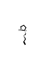 C=CCSC[C@H]1CCCN1